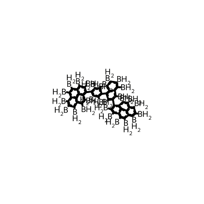 Bc1c(B)c(-c2c(B)c(B)c3c(B)c(B)c4c(B)c(B)c(B)c5c(B)c(B)c2c3c45)c(B)c(B)c1-c1c(B)c(-c2c(B)c(B)c3c(B)c(B)c4c(B)c(B)c(B)c5c(B)c(B)c2c3c45)c(B)c2c(B)c(B)c(B)c(B)c12